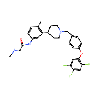 CNCC(=O)Nc1ccc(C)c(C2CCN(Cc3ccc(Oc4cc(F)c(F)cc4F)cc3)CC2)c1